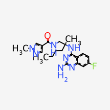 CCCC[C@](C)(CNC(=O)c1cnn(C)c1)Nc1nc(N)nc2cc(F)ccc12